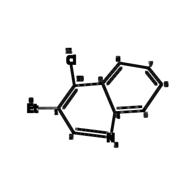 [CH2]Cc1cnc2ccccc2c1Cl